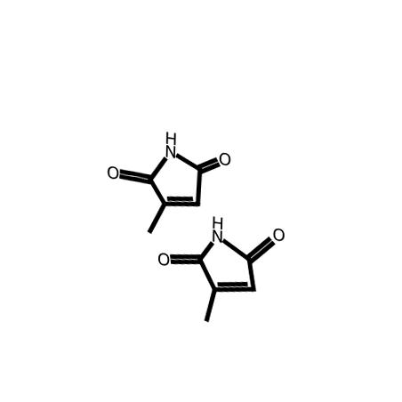 CC1=CC(=O)NC1=O.CC1=CC(=O)NC1=O